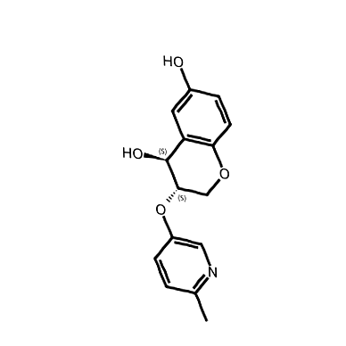 Cc1ccc(O[C@H]2COc3ccc(O)cc3[C@@H]2O)cn1